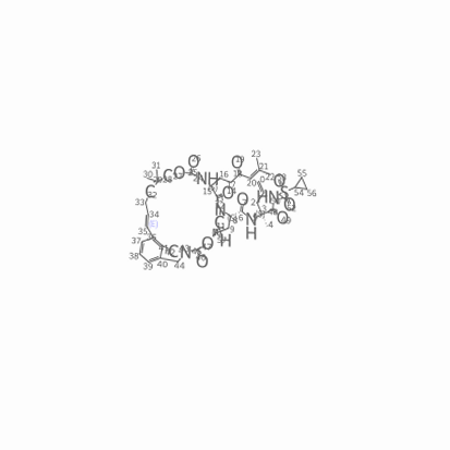 C=CC[C@](C)(NC(=O)[C@@H]1C[C@@H]2CN1C(=O)[C@H](CCC(=O)C=C(C)C)NC(=O)OCC(C)(C)CC/C=C/c1cccc3c1CN(C3)C(=O)O2)C(=O)NS(=O)(=O)C1CC1